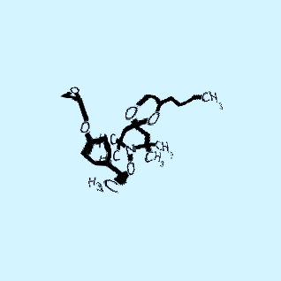 CCCCC1COC2(CC(C)(C)N(OC(C)c3ccc(OCC4CO4)cc3)C(C)(C)C2)O1